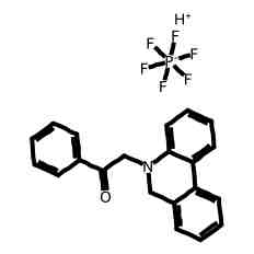 F[P-](F)(F)(F)(F)F.O=C(CN1Cc2ccccc2-c2ccccc21)c1ccccc1.[H+]